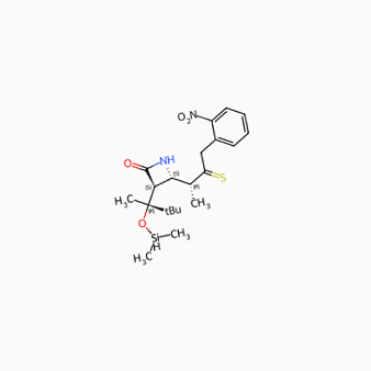 C[C@@H](C(=S)Cc1ccccc1[N+](=O)[O-])[C@H]1NC(=O)[C@@H]1[C@@](C)(O[SiH](C)C)C(C)(C)C